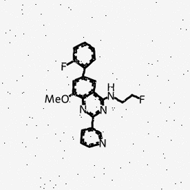 COc1cc(-c2ccccc2F)cc2c(NCCF)nc(-c3cccnc3)nc12